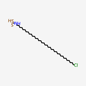 S=C(S)NCCCCCCCCCCCCCCCCCCCCCCCCCCCCCCCCCCCCCCl